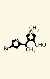 CC(c1cc(Br)cs1)c1cn(C)cc1C=O